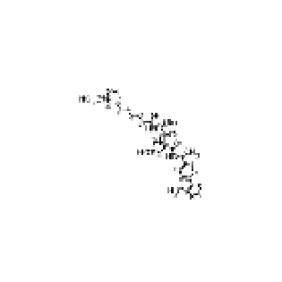 Cc1ncsc1-c1ccc([C@H](C)NC(=O)[C@@H]2C[C@@H](O)CN2C(=O)C(NC(=O)CCCCCCCN(C)C(=O)O)C(C)(C)C)cc1